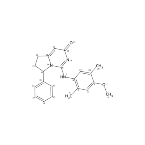 COc1cc(C)c(Nc2nc(=O)cc3n2C(c2ccccc2)CC3)cc1C